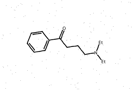 CCN(CC)CCCC(=O)c1ccccc1